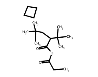 C1CCC1.CCC(=O)OC(=O)C(CC(C)(C)C)C(C)(C)C